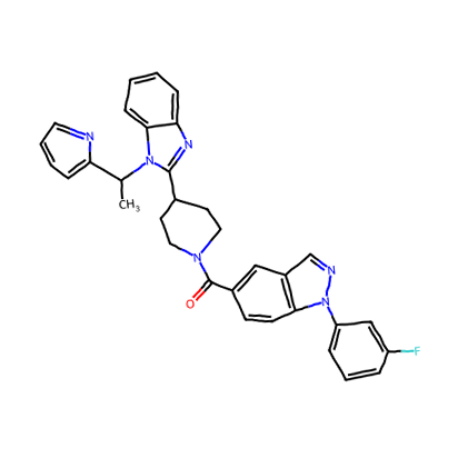 CC(c1ccccn1)n1c(C2CCN(C(=O)c3ccc4c(cnn4-c4cccc(F)c4)c3)CC2)nc2ccccc21